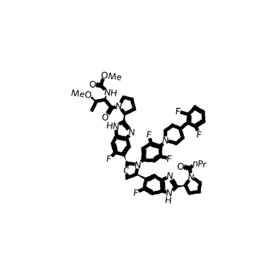 CCCC(=O)N1CCC[C@H]1c1nc2cc([C@H]3CC[C@H](c4cc5nc([C@@H]6CCCN6C(=O)[C@@H](NC(=O)OC)[C@@H](C)OC)[nH]c5cc4F)N3c3cc(F)c(N4CCC(c5c(F)cccc5F)CC4)c(F)c3)c(F)cc2[nH]1